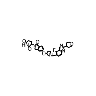 O=C1CCC(N2Cc3cc(OC4CCN(Cc5ccc6nc(C7CCOCC7)ncc6c5F)C4)ccc3C2=O)C(=O)N1